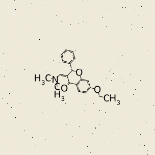 CCOc1ccc2c(c1)OC(c1ccccc1)C(=CN(C)C)C2=O